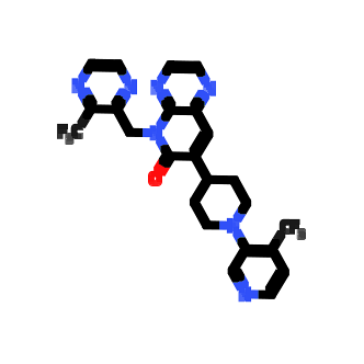 O=c1c(C2CCN(c3cnccc3C(F)(F)F)CC2)cc2nccnc2n1Cc1nccnc1C(F)(F)F